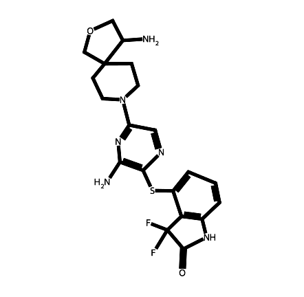 Nc1nc(N2CCC3(CC2)COCC3N)cnc1Sc1cccc2c1C(F)(F)C(=O)N2